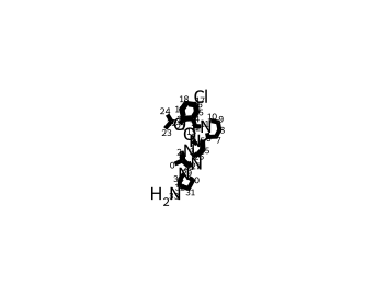 Cc1cn2nc([C@@H]3CCCCN3C(=O)c3cc(Cl)ccc3OC(C)C)cc2nc1N1CCC(N)C1